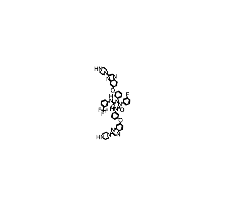 O=C(Nc1cccc(Oc2ccc3ncc(N4CCNCC4)nc3c2)c1)N(c1cccc(F)c1)N(C(=O)Nc1cccc(C(F)(F)F)c1)c1cccc(Oc2ccc3ncc(N4CCNCC4)nc3c2)c1